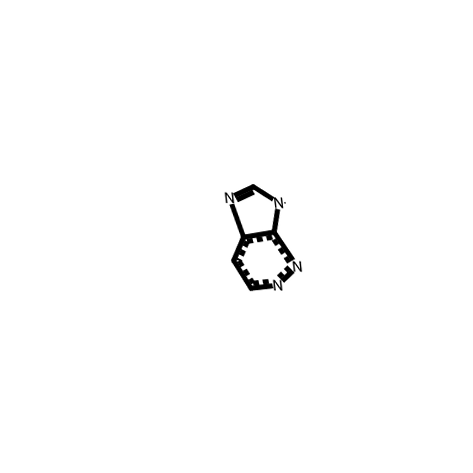 C1=Nc2ccnnc2[N]1